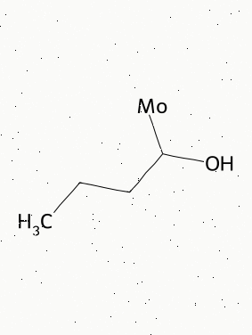 CCC[CH](O)[Mo]